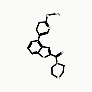 COC1=NC=C(c2cccc3sc(C(=O)N4CCOCC4)cc23)CC1